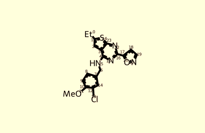 CCc1cc2c(NCc3ccc(OC)c(Cl)c3)nc(-c3ccno3)nc2s1